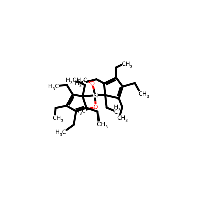 CCC1=C(CC)C(CC)([Si](OC)(OC)C2(CC)C(CC)=C(CC)C(CC)=C2CC)C(CC)=C1CC